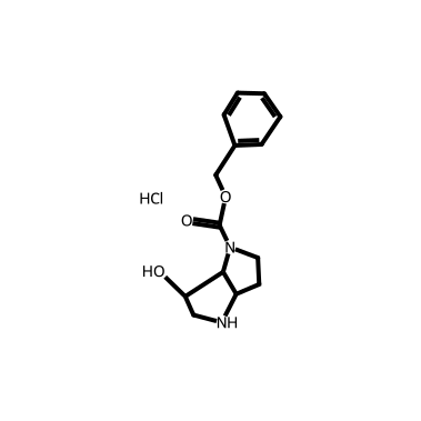 Cl.O=C(OCc1ccccc1)N1CCC2NCC(O)C21